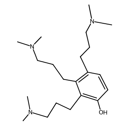 CN(C)CCCc1ccc(O)c(CCCN(C)C)c1CCCN(C)C